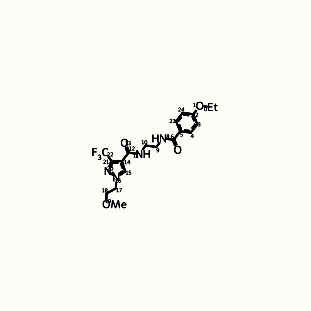 CCOc1ccc(C(=O)NCCNC(=O)c2cn(CCOC)nc2C(F)(F)F)cc1